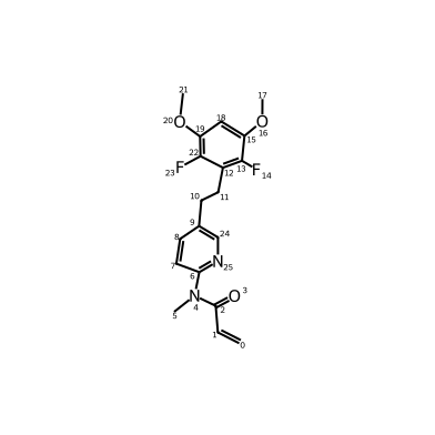 C=CC(=O)N(C)c1ccc(CCc2c(F)c(OC)cc(OC)c2F)cn1